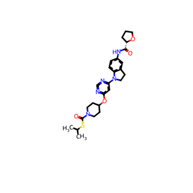 CC(C)SC(=O)N1CCC(Oc2cc(N3CCc4cc(NC(=O)[C@@H]5CCCO5)ccc43)ncn2)CC1